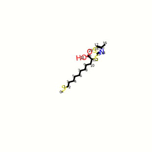 CSCCCCCCCCCC(Sc1nc(C)cs1)C(=O)O